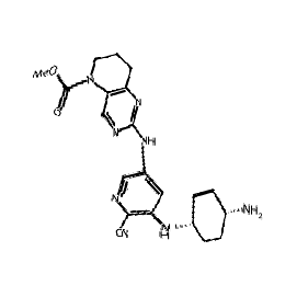 COC(=O)N1CCCc2nc(Nc3cnc(C#N)c(N[C@H]4CC[C@@H](N)CC4)c3)ncc21